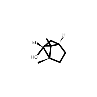 CC[C@@]1(O)C[C@H]2CC[C@@]1(C)C2(C)C